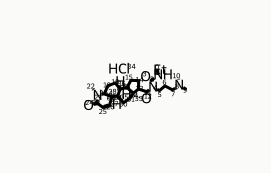 CCNC(=O)N(CCCN(C)C)C(=O)C1CC[C@H]2[C@@H]3CCC4N(C)C(=O)C=C[C@]4(C)[C@@H]3CC[C@]12C.Cl